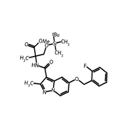 COC(=O)C(C)(CO[Si](C)(C)C(C)(C)C)NC(=O)c1c(C)nn2ccc(OCc3ccccc3F)cc12